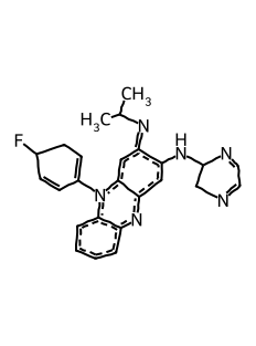 CC(C)/N=c1\cc2n(C3=CCC(F)C=C3)c3ccccc3nc-2cc1NC1CN=CC=N1